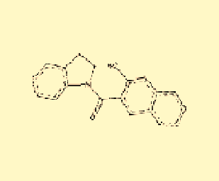 O=C(c1cc2ccccc2cc1O)N1CCc2ccccc21